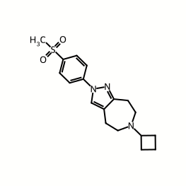 CS(=O)(=O)c1ccc(-n2cc3c(n2)CCN(C2CCC2)CC3)cc1